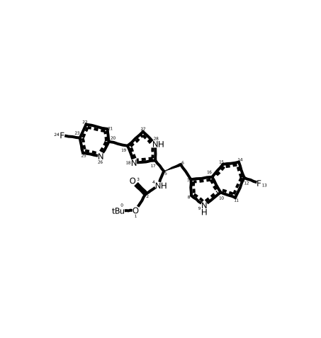 CC(C)(C)OC(=O)N[C@H](Cc1c[nH]c2cc(F)ccc12)c1nc(-c2ccc(F)cn2)c[nH]1